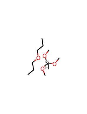 CCCOCCC.CO[SiH](OC)OC